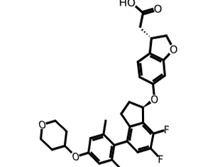 Cc1cc(OC2CCOCC2)cc(C)c1-c1cc(F)c(F)c2c1CC[C@H]2Oc1ccc2c(c1)OC[C@H]2CC(=O)O